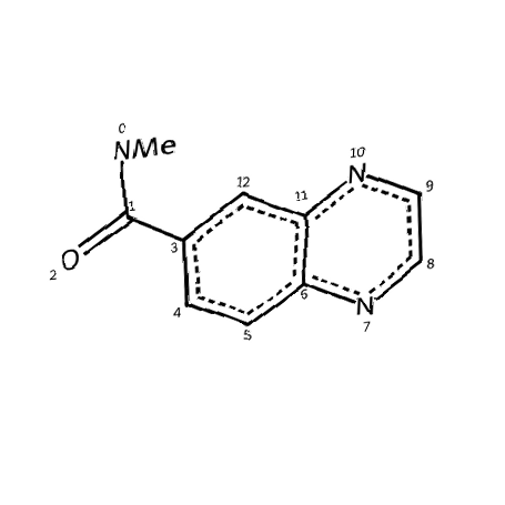 CNC(=O)c1ccc2nccnc2c1